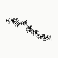 Nc1nc2ncc(CN(C(=O)C(F)(F)F)c3ccc(C(=O)NCCCC(=O)NCC(=O)NCC(=O)NCC(=O)NCC(=O)NCC(=O)N[C@H](CS)C(=O)O)cc3)nc2c(=O)[nH]1